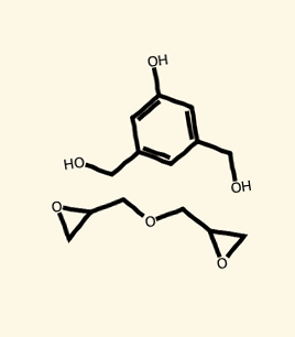 C(OCC1CO1)C1CO1.OCc1cc(O)cc(CO)c1